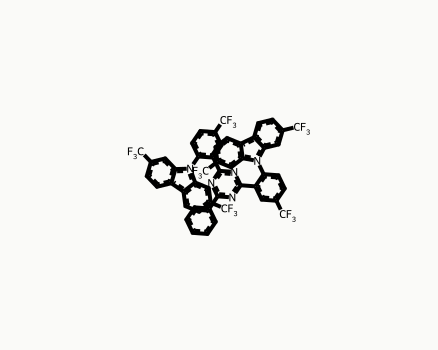 FC(F)(F)c1ccc(-n2c3cc(C(F)(F)F)ccc3c3ccc(C(F)(F)F)cc32)c(-c2nc(-c3ccccc3)nc(-c3cc(C(F)(F)F)ccc3-n3c4cc(C(F)(F)F)ccc4c4ccc(C(F)(F)F)cc43)n2)c1